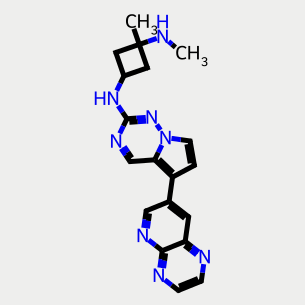 CNC1(C)CC(Nc2ncc3c(-c4cnc5nccnc5c4)ccn3n2)C1